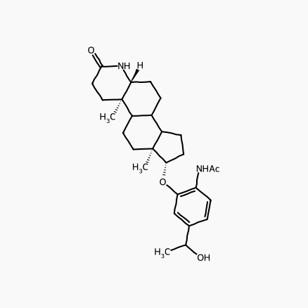 CC(=O)Nc1ccc(C(C)O)cc1O[C@H]1CCC2C3CC[C@H]4NC(=O)CC[C@]4(C)C3CC[C@@]21C